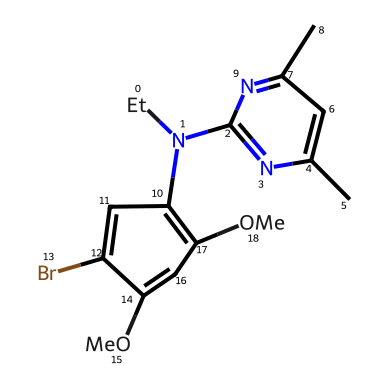 CCN(c1nc(C)cc(C)n1)c1cc(Br)c(OC)cc1OC